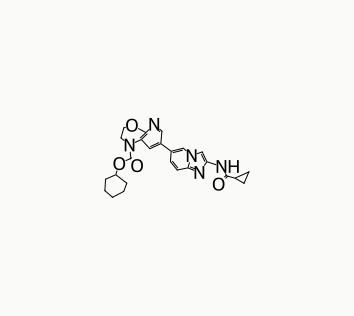 O=C(Nc1cn2cc(-c3cnc4c(c3)N(C(=O)OC3CCCCC3)CCO4)ccc2n1)C1CC1